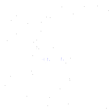 N#CC=C(N)c1ccccn1